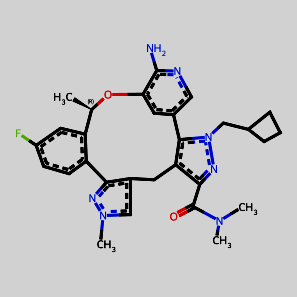 C[C@H]1Oc2cc(cnc2N)-c2c(c(C(=O)N(C)C)nn2CC2CCC2)Cc2cn(C)nc2-c2ccc(F)cc21